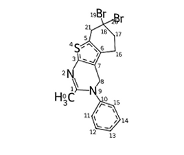 CC1=Nc2sc3c(c2CN1c1ccccc1)CCC(Br)(Br)C3